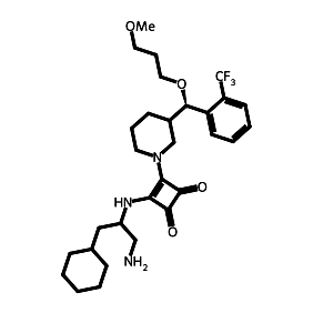 COCCCO[C@@H](c1ccccc1C(F)(F)F)C1CCCN(c2c(NC(CN)CC3CCCCC3)c(=O)c2=O)C1